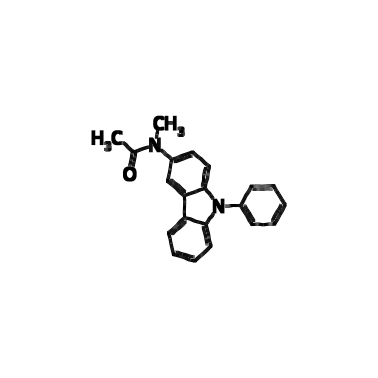 CC(=O)N(C)c1ccc2c(c1)c1ccccc1n2-c1ccccc1